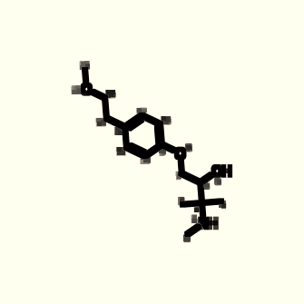 CNC(C)(C)C(O)COc1ccc(CCOC)cc1